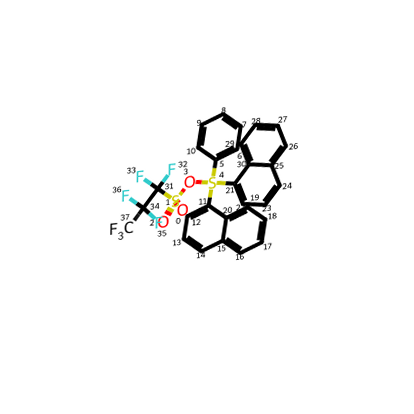 O=S(=O)(OS(c1ccccc1)(c1cccc2ccccc12)c1cccc2ccccc12)C(F)(F)C(F)(F)C(F)(F)F